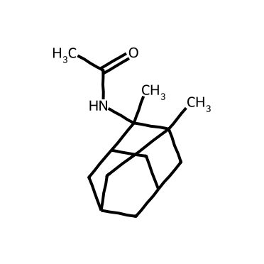 CC(=O)NC1(C)C2CC3CC(C2)CC1(C)C3